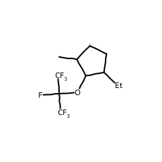 [CH2]CC1C[CH]C(C)C1OC(F)(C(F)(F)F)C(F)(F)F